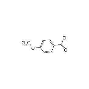 O=C(Cl)c1ccc(OC(Cl)(Cl)Cl)cc1